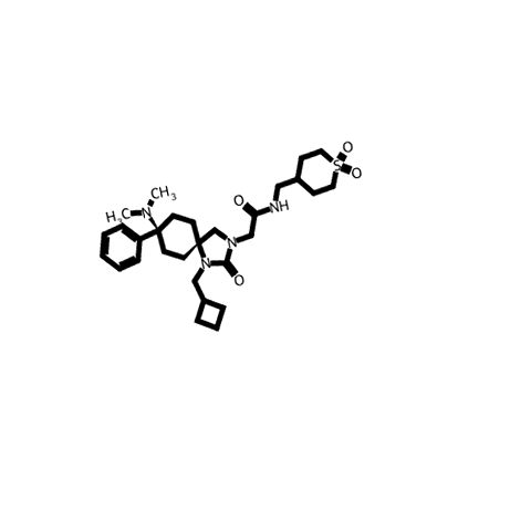 CN(C)[C@]1(c2ccccc2)CC[C@@]2(CC1)CN(CC(=O)NCC1CCS(=O)(=O)CC1)C(=O)N2CC1CCC1